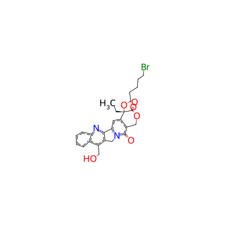 CC[C@@]1(OC(=O)CCCCBr)C(=O)OCc2c1cc1n(c2=O)Cc2c-1nc1ccccc1c2CO